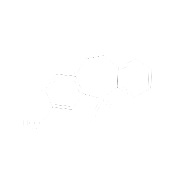 O=C(O)c1ccc2c(c1)S(=O)(=O)c1ccccc1CC2